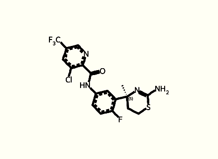 C[C@@]1(c2cc(NC(=O)c3ncc(C(F)(F)F)cc3Cl)ccc2F)CCSC(N)=N1